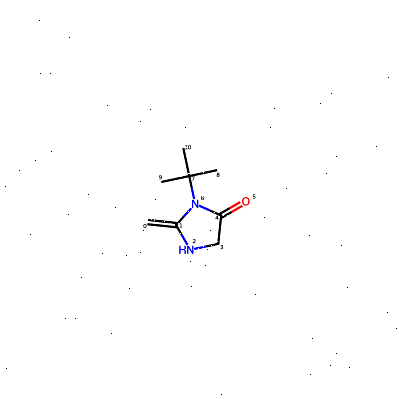 C=C1NCC(=O)N1C(C)(C)C